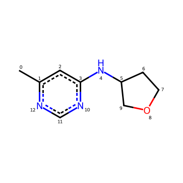 Cc1cc(NC2CCOC2)ncn1